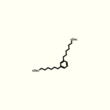 CCCCCCCCCCCCCCCCc1c[c]cc(CCCCCCCCCCCCCCCC)c1